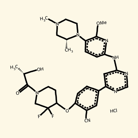 COc1nc(Nc2cc(-c3ccc(OC4CCN(C(=O)[C@H](C)O)CC4(F)F)c(C#N)c3)ncn2)ccc1N1CCN(C)C[C@H]1C.Cl